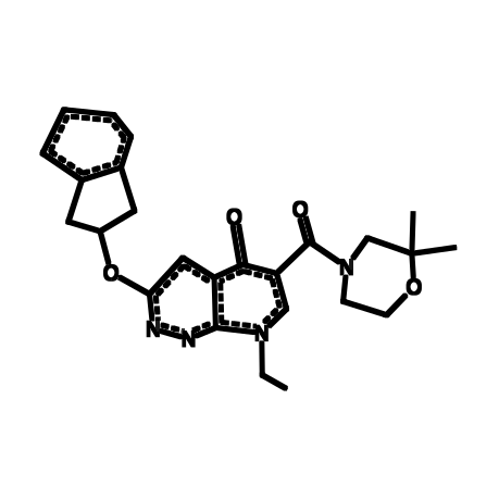 CCn1cc(C(=O)N2CCOC(C)(C)C2)c(=O)c2cc(OC3Cc4ccccc4C3)nnc21